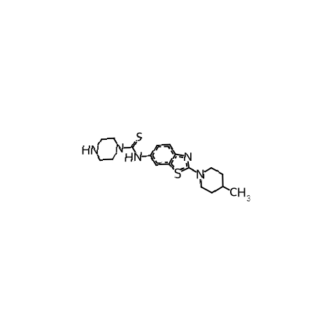 CC1CCN(c2nc3ccc(NC(=S)N4CCNCC4)cc3s2)CC1